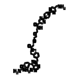 NCc1cnc(N2CCN(c3ncc(C(=O)NCCOCCOCCC(=O)N4CCc5cc(Cn6nc(-c7ccc8oc(N)nc8c7)c7c(N)ncnc76)ccc5C4)cn3)CC2)nc1